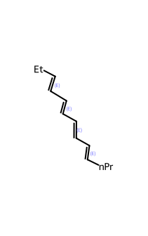 [CH2]C/C=C/C=C/C=C/C=C/CCC